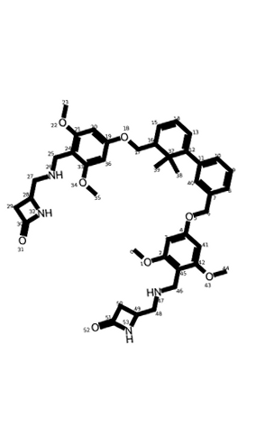 COc1cc(OCc2cccc(C3=CC=CC(COc4cc(OC)c(CNCC5CC(=O)N5)c(OC)c4)C3(C)C)c2)cc(OC)c1CNCC1CC(=O)N1